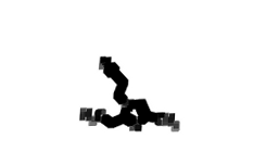 CCc1nc(C)cn1CCC#N